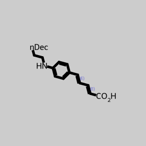 CCCCCCCCCCCCNc1ccc(/C=C/C=C/C(=O)O)cc1